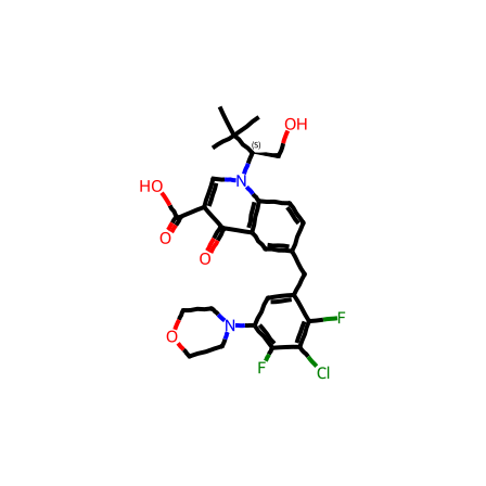 CC(C)(C)[C@@H](CO)n1cc(C(=O)O)c(=O)c2cc(Cc3cc(N4CCOCC4)c(F)c(Cl)c3F)ccc21